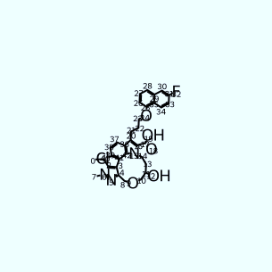 CCc1c2c(nn1C)COCC(O)CCn1c(C(=O)O)c(CCCOc3cccc4cc(F)ccc34)c3ccc(Cl)c-2c31